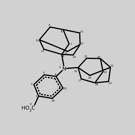 O=C(O)c1ccc(N(C23CC4CC(CC(C4)C2)C3)C23CC4CC(C2)C(C4)C3)cc1